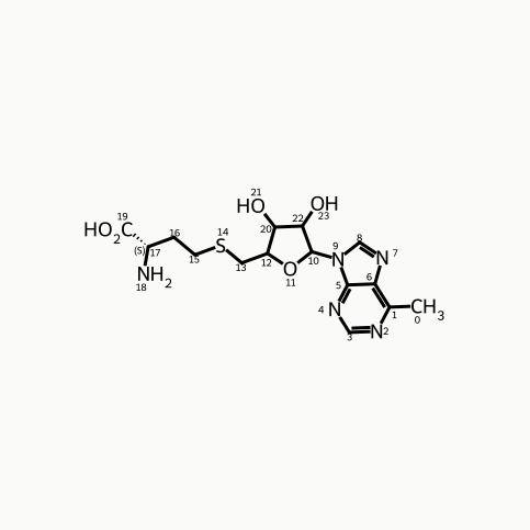 Cc1ncnc2c1ncn2C1OC(CSCC[C@H](N)C(=O)O)C(O)C1O